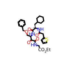 CCOC(=O)CNC(=O)C(=O)C(COCc1ccccc1)NC(=O)[C@@H](CC1CCCCC1)NC(=O)Cc1cccs1